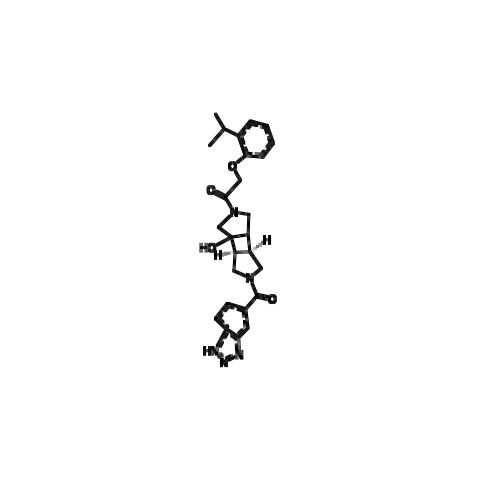 CC(C)c1ccccc1OCC(=O)N1CC2[C@H]3CN(C(=O)c4ccc5[nH]nnc5c4)C[C@H]3C2(O)C1